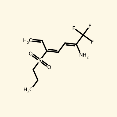 C=C/C(=C\C=C(/N)C(F)(F)F)S(=O)(=O)CCC